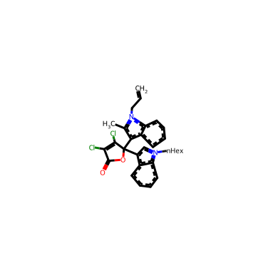 C=CCn1c(C)c(C2(c3cn(CCCCCC)c4ccccc34)OC(=O)C(Cl)=C2Cl)c2ccccc21